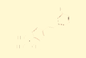 CC(C)(C)c1ccc(CCc2cccc(F)c2)cc1